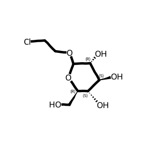 OC[C@H]1OC(OCCCl)[C@H](O)[C@@H](O)[C@@H]1O